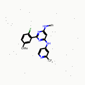 COc1ccc(F)c(-c2nc(Nc3ccnc(C(F)(F)F)c3)cc(NC(C)C)n2)c1